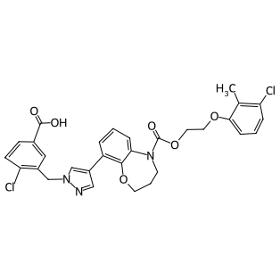 Cc1c(Cl)cccc1OCCOC(=O)N1CCCOc2c(-c3cnn(Cc4cc(C(=O)O)ccc4Cl)c3)cccc21